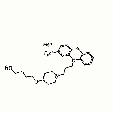 Cl.OCCCCOC1CCN(CCCN2c3ccccc3Sc3ccc(C(F)(F)F)cc32)CC1